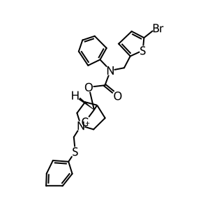 O=C(O[C@H]1C[N+]2(CSc3ccccc3)CCC1CC2)N(Cc1ccc(Br)s1)c1ccccc1